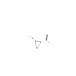 N[C@@H]1C[C@H]1C(=O)O